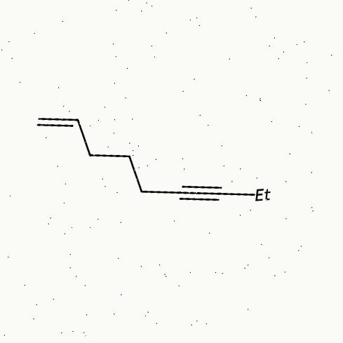 C=CCCCC#CCC